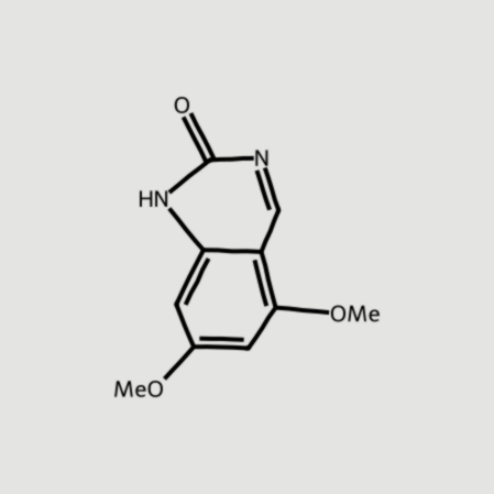 COc1cc(OC)c2cnc(=O)[nH]c2c1